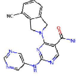 N#Cc1cccc2c1CN(c1nc(Nc3cncnc3)ncc1C(N)=O)C2